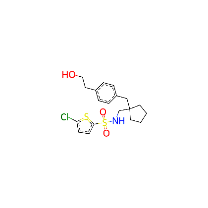 O=S(=O)(NCC1(Cc2ccc(CCO)cc2)CCCC1)c1ccc(Cl)s1